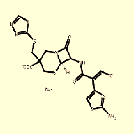 Nc1nc(C(=CCl)C(=O)NC2C(=O)N3CC(CSc4nncs4)(C(=O)[O-])CS[C@H]23)cs1.[Na+]